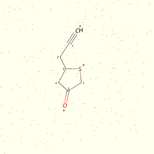 C#CCC1CC(=O)CS1